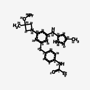 CCC(=O)Nc1ccc(Sc2nc(Nc3cc(C)n[nH]3)cc(N3CC(C)(OC(C)C)C3)n2)cc1